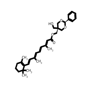 CC1=C(/C=C/C(C)=C/C=C/C(C)=C/C(=O)OC[C@]2(CO)CO[C@H](c3ccccc3)OC2)C(C)(C)CCC1